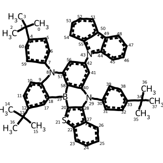 CC(C)(C)c1ccc(N2c3ccc(C(C)(C)C)cc3B3c4sc5ccccc5c4N(c4ccc(C(C)(C)C)cc4)c4cc(-n5c6ccccc6c6ccccc65)cc2c43)cc1